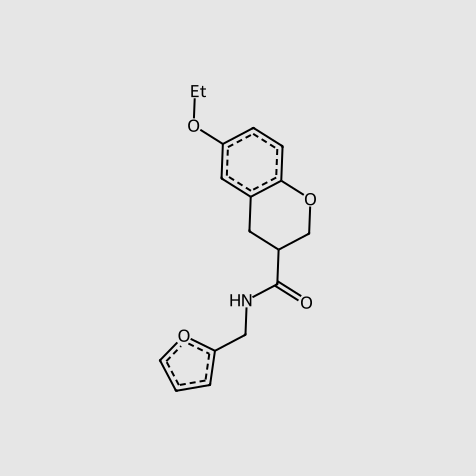 CCOc1ccc2c(c1)CC(C(=O)NCc1ccco1)CO2